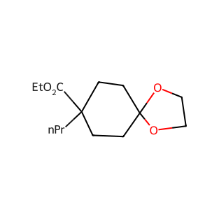 CCCC1(C(=O)OCC)CCC2(CC1)OCCO2